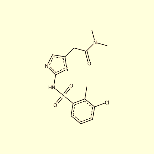 Cc1c(Cl)cccc1S(=O)(=O)Nc1ncc(CC(=O)N(C)C)s1